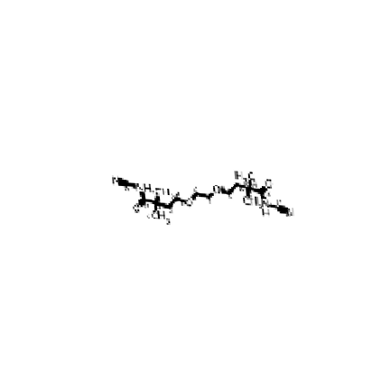 CC(C)(CCOCCOCCC(C)(C)C(=O)NC#N)C(=O)NC#N